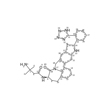 CC(C)(N)CC(=O)N[C@@H]1CCc2ccccc2N(Cc2ccc3[nH]c(-c4ccccc4-c4nnn[nH]4)cc3c2)C1=O